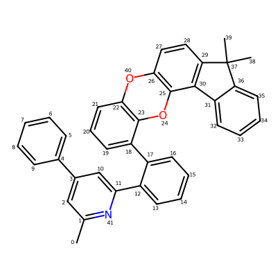 Cc1cc(-c2ccccc2)cc(-c2ccccc2-c2cccc3c2Oc2c(ccc4c2-c2ccccc2C4(C)C)O3)n1